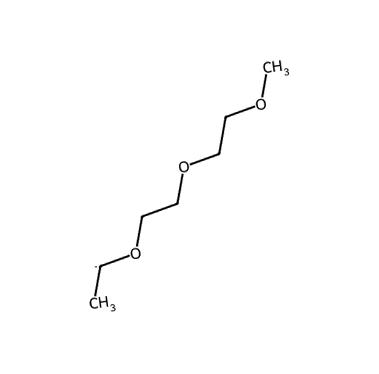 C[CH]OCCOCCOC